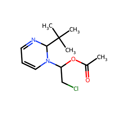 CC(=O)OC(CCl)N1C=CC=NC1C(C)(C)C